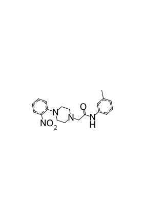 Cc1cccc(NC(=O)CN2CCN(c3ccccc3[N+](=O)[O-])CC2)c1